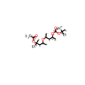 CCC(C)(CC(C)OC(C)CC(C)OC(=O)OC(C)(CC)C(C)C)OC(=O)C(F)(F)F